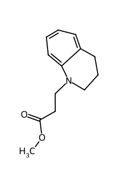 COC(=O)CCN1CCCc2ccccc21